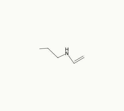 C=CNCCC